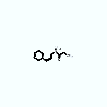 CCC(=O)N(C)C/C=C\C1CC=CCC1